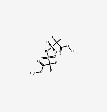 COC(=O)C(F)(F)S(=O)(=O)NS(=O)(=O)C(F)(F)C(=O)OC